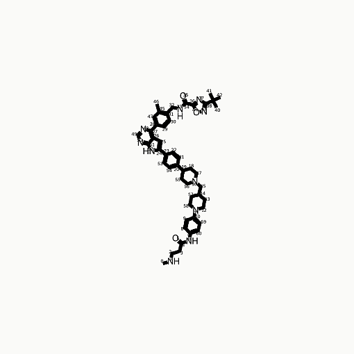 CNCCC(=O)Nc1ccc(N2CCC(CN3CCC(c4ccc(-c5cc6c(-c7ccc(CNC(=O)c8nc(C(C)(C)C)no8)c(C)c7)ncnc6[nH]5)cc4)CC3)CC2)cc1